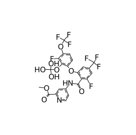 COC(=O)c1cc(NC(=O)c2c(F)cc(C(F)(F)F)cc2Oc2ccc(OC(F)(F)F)c(F)c2OC(O)(O)O)ccn1